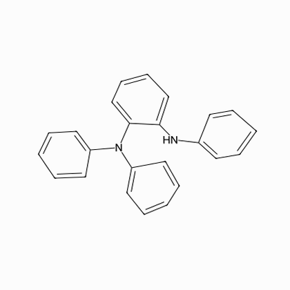 c1ccc(Nc2ccccc2N(c2ccccc2)c2ccccc2)cc1